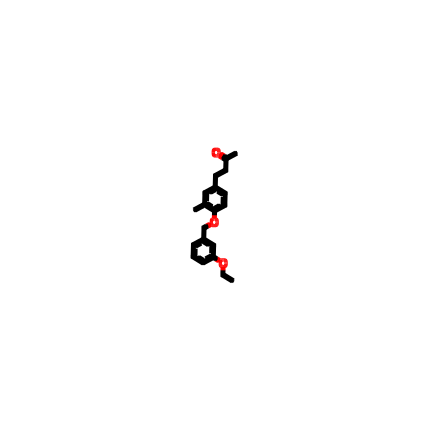 CCOc1cccc(COc2ccc(CCC(C)=O)cc2C)c1